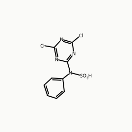 O=S(=O)(O)N(c1ccccc1)c1nc(Cl)nc(Cl)n1